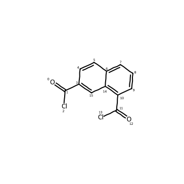 O=C(Cl)c1ccc2cccc(C(=O)Cl)c2c1